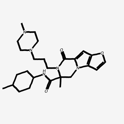 CC1CCC(NC(=O)C2(C)Cn3c(cc4occc43)C(=O)N2CCCN2CCN(C)CC2)CC1